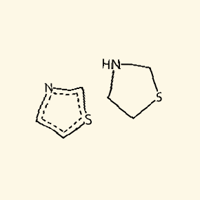 C1CSCN1.c1cscn1